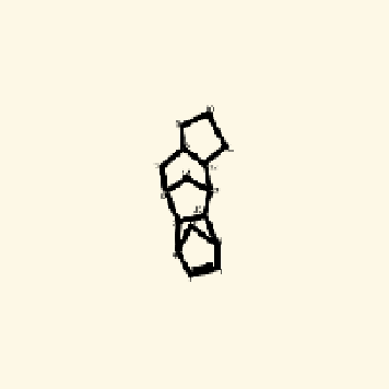 C1=CC2CC1C1C3CC4CCCC4C(C3)C21